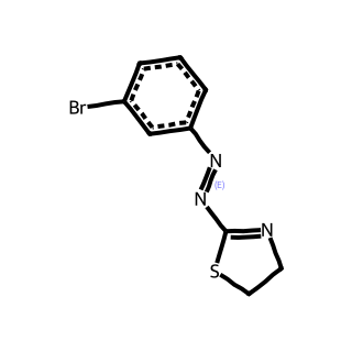 Brc1cccc(/N=N/C2=NCCS2)c1